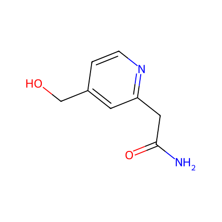 NC(=O)Cc1cc(CO)ccn1